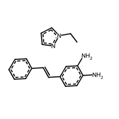 CCn1cccn1.Nc1ccc(C=Cc2ccccc2)cc1N